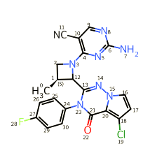 C[C@H]1CN(c2nc(N)ncc2C#N)C1c1nn2ccc(Cl)c2c(=O)n1-c1ccc(F)cc1